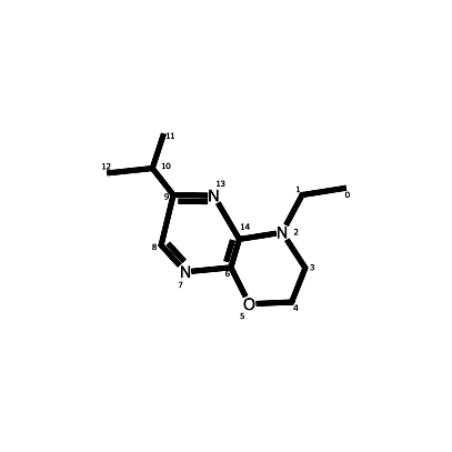 CCN1CCOc2ncc(C(C)C)nc21